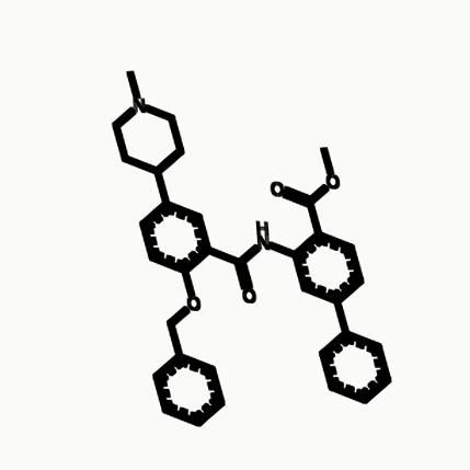 COC(=O)c1ccc(-c2ccccc2)cc1NC(=O)c1cc(C2CCN(C)CC2)ccc1OCc1ccccc1